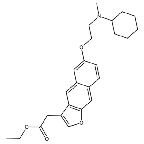 CCOC(=O)Cc1coc2cc3ccc(OCCN(C)C4CCCCC4)cc3cc12